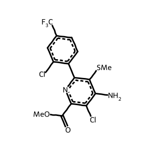 COC(=O)c1nc(-c2ccc(C(F)(F)F)cc2Cl)c(SC)c(N)c1Cl